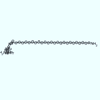 CCCCc1nc2c(N)nnc(OC(C)C)c2n1Cc1ccc(CN2CCN(C(=O)CCOCCOCCOCCOCCOCCOCCOCCOCCOCCOCCOCCOCCOCCOCCOCCOCCOCCOCCOCCOCCOCCOCCOCCOCCN)CC2)cc1